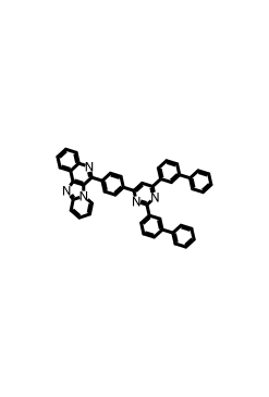 c1ccc(-c2cccc(-c3cc(-c4ccc(-c5nc6ccccc6c6nc7ccccn7c56)cc4)nc(-c4cccc(-c5ccccc5)c4)n3)c2)cc1